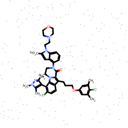 Cc1cc(OCCCc2c3n(c4c(-c5c(C)nn(C)c5C)c(Cl)ccc24)[C@H](C)CN(c2cccc4c2cc(C(=O)O)n4CCN2CCOCC2)C3=O)cc(C)c1Cl